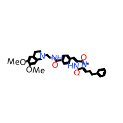 COc1cc2c(cc1OC)CN(CCNC(=O)c1ccc(C=c3[nH]c(=O)c(=CCCc4ccccc4)n(C)c3=O)cc1)CC2